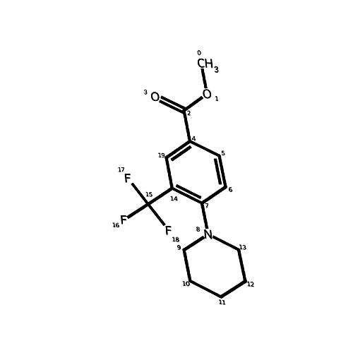 COC(=O)c1ccc(N2CCCCC2)c(C(F)(F)F)c1